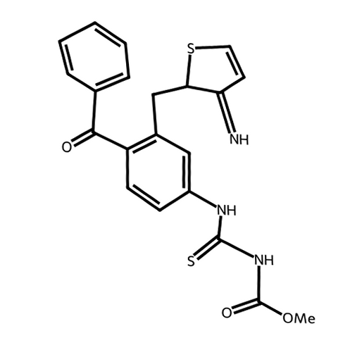 COC(=O)NC(=S)Nc1ccc(C(=O)c2ccccc2)c(CC2SC=CC2=N)c1